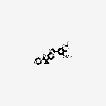 COc1cc(-c2cnc3cc(C4(C(=O)N5CCOCC5)CC4)ccn23)cc(OC(F)F)c1C